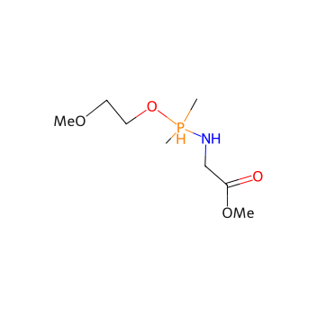 COCCO[PH](C)(C)NCC(=O)OC